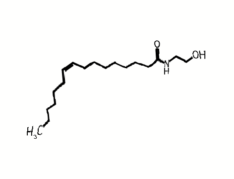 CCCCCC/C=C\CCCCCCCC(=O)NCCO